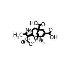 CC1=CC(Cn2nc(C)c([N+](=O)[O-])c2C)(C(=O)O)CC(C(=O)O)=C1